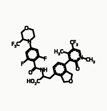 Cc1c(C(F)(F)F)cn(C)c(=O)c1-c1ccc(CC(NC(=O)c2c(F)cc(N3CCOCC3C(F)(F)F)cc2F)C(=O)O)c2c1COC2